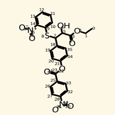 CCOC(=O)C(O)C(Sc1ccccc1[N+](=O)[O-])c1ccc(OC(=O)c2ccc([N+](=O)[O-])cc2)cc1